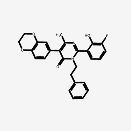 Cc1nc(-c2cccc(F)c2O)n(CCc2ccccc2)c(=O)c1-c1ccc2c(c1)OCCO2